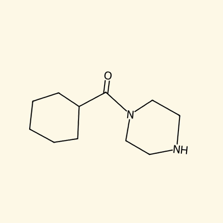 O=C(C1CCCCC1)N1CCNCC1